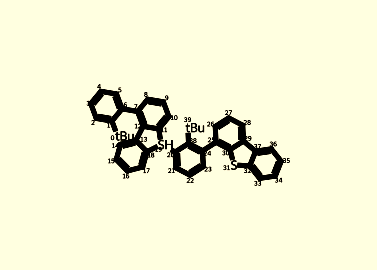 CC(C)(C)c1ccccc1-c1cccc2c1-c1ccccc1[SH]2c1cccc(-c2cccc3c2sc2ccccc23)c1C(C)(C)C